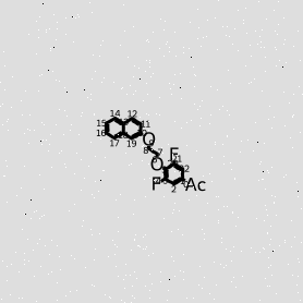 CC(=O)c1cc(F)c(OCCOc2ccc3ccccc3c2)c(F)c1